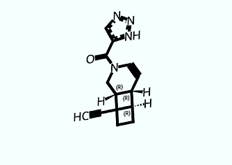 C#CC12CC[C@@H]1[C@H]1C#CN(C(=O)c3cnn[nH]3)C[C@H]12